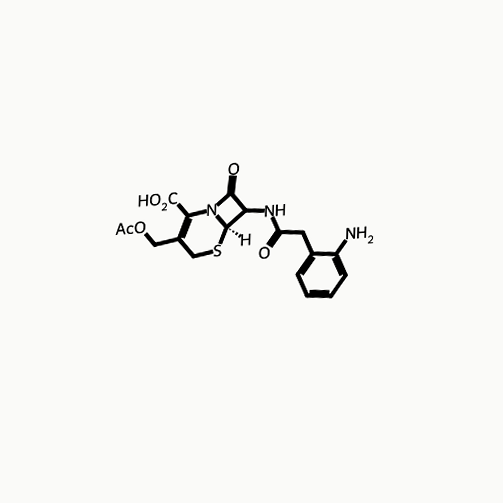 CC(=O)OCC1=C(C(=O)O)N2C(=O)C(NC(=O)Cc3ccccc3N)[C@H]2SC1